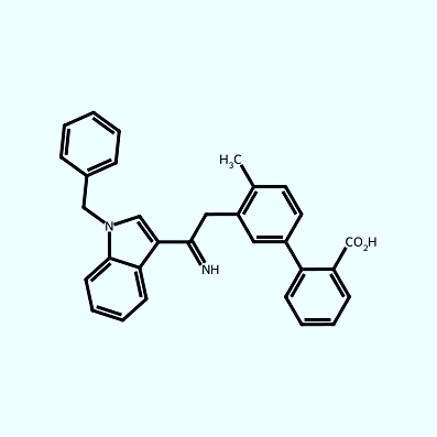 Cc1ccc(-c2ccccc2C(=O)O)cc1CC(=N)c1cn(Cc2ccccc2)c2ccccc12